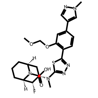 COCOc1cc(-c2cnn(C)c2)ccc1-c1nnc(N(C)[C@H]2C[C@@H]3CCC[C@H]([C@H]2F)N3C(=O)O)s1